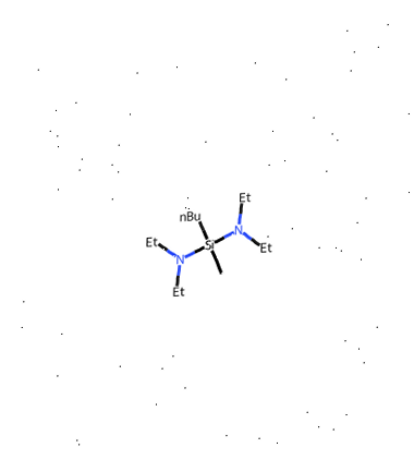 CCCC[Si](C)(N(CC)CC)N(CC)CC